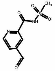 CS(=O)(=O)NC(=O)c1cc(C=O)ccn1